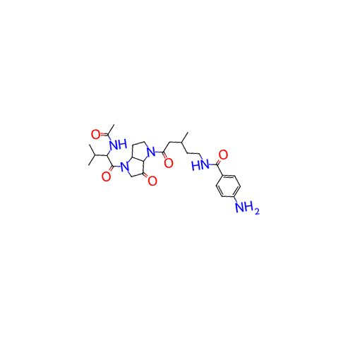 CC(=O)NC(C(=O)N1CC(=O)C2C1CCN2C(=O)CC(C)CCNC(=O)c1ccc(N)cc1)C(C)C